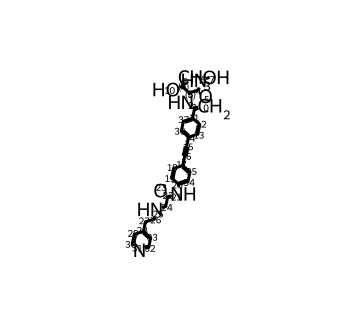 C=C(N[C@H](C(=O)NO)[C@@H](C)O)c1ccc(C#Cc2ccc(NC(=O)CNCCc3ccncc3)cc2)cc1